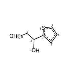 O=CCC(O)c1cccs1